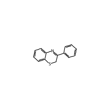 c1ccc(C2=Nc3ccccc3SC2)cc1